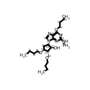 CCCCOC[C@H]1[C@H](O)[C@@H](n2cnc3c(OCCCC)nc(NP)nc32)C[C@@H]1OCCCC